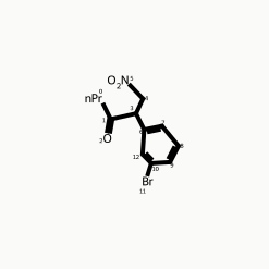 CCCC(=O)C(C[N+](=O)[O-])c1cccc(Br)c1